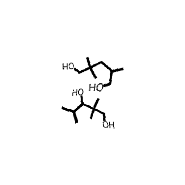 CC(C)C(O)C(C)(C)CO.CC(CO)CC(C)(C)CO